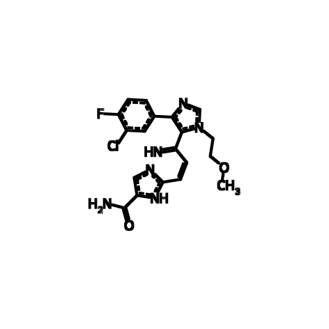 COCCn1cnc(-c2ccc(F)c(Cl)c2)c1C(=N)/C=C\c1ncc(C(N)=O)[nH]1